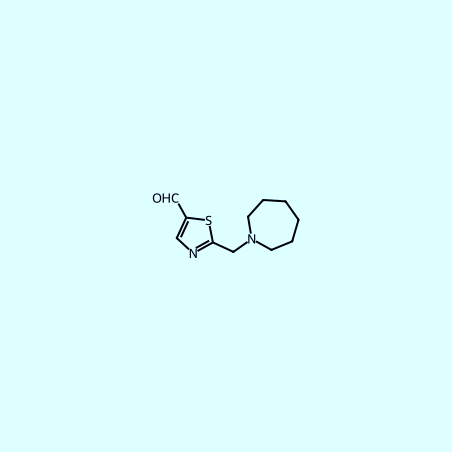 O=Cc1cnc(CN2CCCCCC2)s1